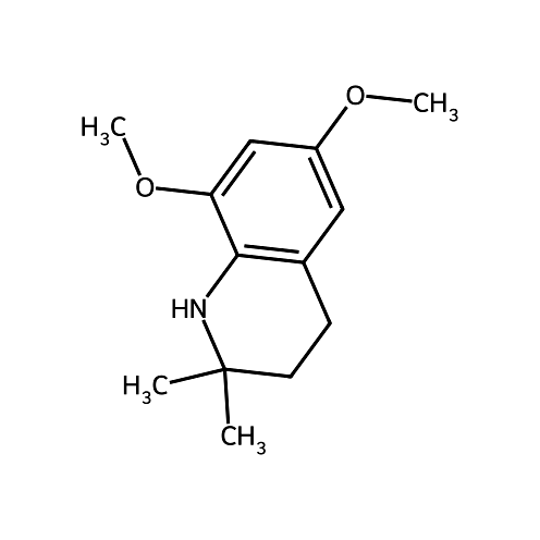 COc1cc2c(c(OC)c1)NC(C)(C)CC2